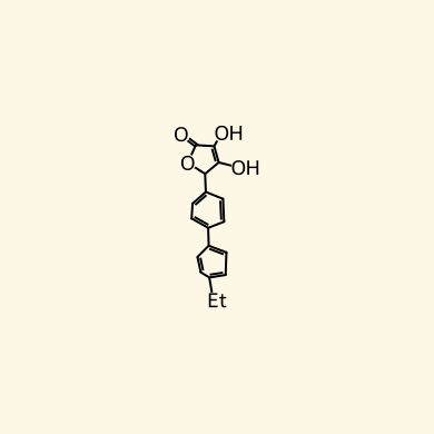 CCc1ccc(-c2ccc(C3OC(=O)C(O)=C3O)cc2)cc1